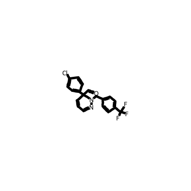 O=CC1(c2ccc(Cl)cc2)C=CC=NN1Cc1ccc(C(F)(F)F)cc1